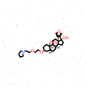 C[C@]12CC[C@H](OCCOCCN3CCCC3)C[C@H]1CC[C@@H]1[C@@H]2CC[C@]2(C)[C@@](O)(c3ccoc3)CC[C@]12O